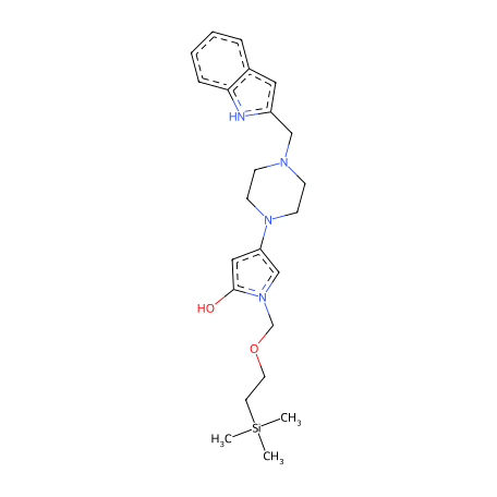 C[Si](C)(C)CCOCn1cc(N2CCN(Cc3cc4ccccc4[nH]3)CC2)cc1O